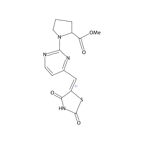 COC(=O)C1CCCN1c1nccc(/C=C2/SC(=O)NC2=O)n1